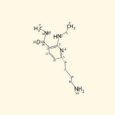 CCNc1nc(CCCCN)ccc1C(=O)NC